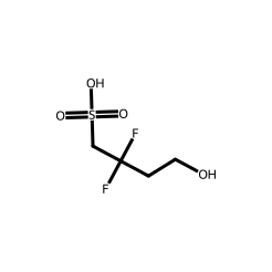 O=S(=O)(O)CC(F)(F)CCO